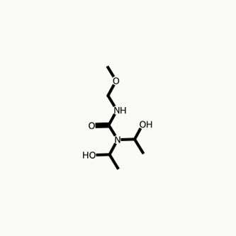 COCNC(=O)N(C(C)O)C(C)O